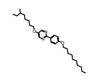 CCCCCCCCCCOc1ccc(-c2ncc(OCCCCCC(C)CC)cn2)cc1